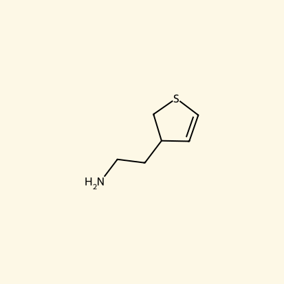 NCCC1C=CSC1